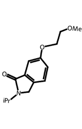 COCCOc1ccc2c(c1)C(=O)N(C(C)C)C2